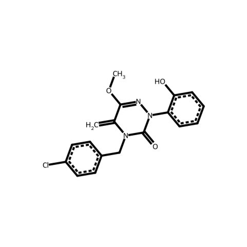 C=C1C(OC)=NN(c2ccccc2O)C(=O)N1Cc1ccc(Cl)cc1